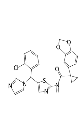 O=C(Nc1ncc(C(c2ccccc2Cl)n2ccnc2)s1)C1(c2ccc3c(c2)OCO3)CC1